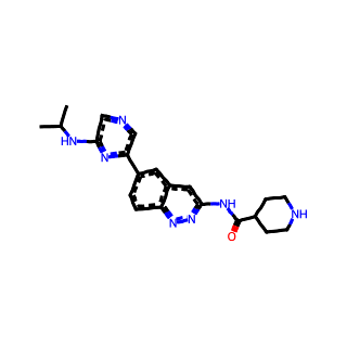 CC(C)Nc1cncc(-c2ccc3nnc(NC(=O)C4CCNCC4)cc3c2)n1